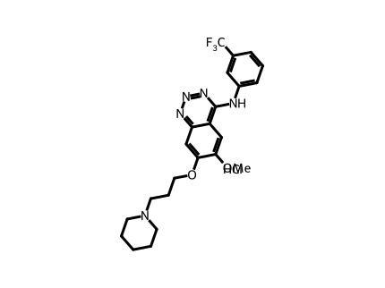 COc1cc2c(Nc3cccc(C(F)(F)F)c3)nnnc2cc1OCCCN1CCCCC1.Cl